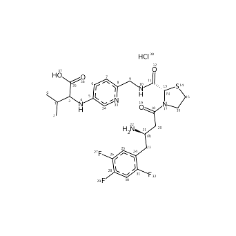 CC(C)C(Nc1ccc(CNC(=O)[C@@H]2SCCN2C(=O)C[C@H](N)Cc2cc(F)c(F)cc2F)nc1)C(=O)O.Cl